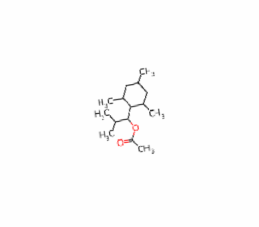 CC(=O)OC(C(C)C)C1C(C)CC(C)CC1C